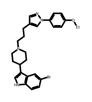 CCOc1ccc(-n2cc(CCCN3CCC(c4c[nH]c5ccc(Br)cc45)CC3)cn2)cc1